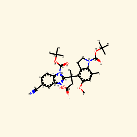 COc1cc(C)c2c(c1C(C)(CC(=O)O)c1nc3cc(C#N)ccc3n1C(=O)OC(C)(C)C)CCN2C(=O)OC(C)(C)C